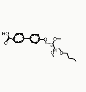 CCCCOC[C@H](OC)[C@H](COc1ccc(-c2ccc(C(=O)O)cc2)cc1)OC